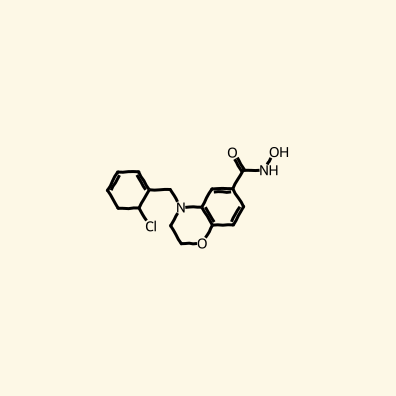 O=C(NO)c1ccc2c(c1)N(CC1=CC=CCC1Cl)CCO2